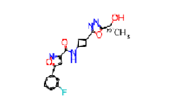 C[C@@H](O)c1nnc(C2CC(NC(=O)c3cc(-c4cccc(F)c4)on3)C2)o1